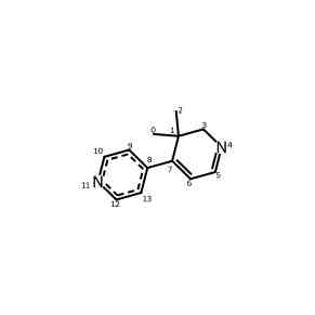 CC1(C)CN=CC=C1c1ccncc1